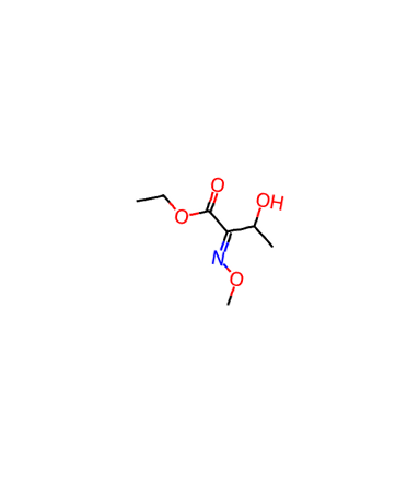 CCOC(=O)C(=NOC)C(C)O